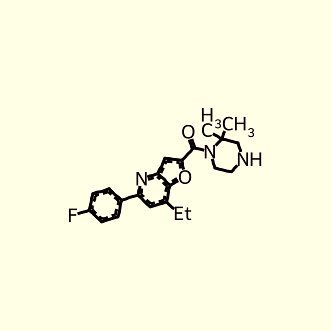 CCc1cc(-c2ccc(F)cc2)nc2cc(C(=O)N3CCNCC3(C)C)oc12